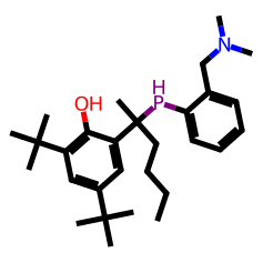 CCCCC(C)(Pc1ccccc1CN(C)C)c1cc(C(C)(C)C)cc(C(C)(C)C)c1O